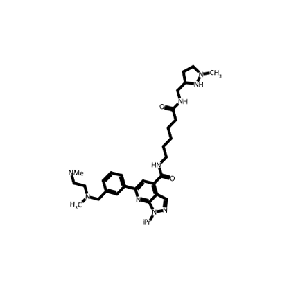 CNCCN(C)Cc1cccc(-c2cc(C(=O)NCCCCCC(=O)NCC3CCN(C)N3)c3cnn(C(C)C)c3n2)c1